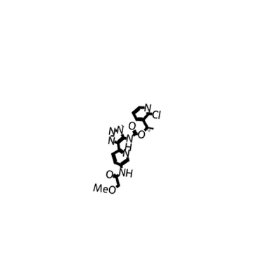 COCC(=O)Nc1ccc(-c2nnn(C)c2NC(=O)O[C@H](C)c2cccnc2Cl)nc1